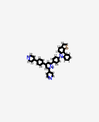 c1ccc2c(c1)c1c3sccc3ccc1n2-c1ccc(-c2cc(-c3ccc(-c4ccncc4)cc3)cc(-c3ccncc3)n2)cc1